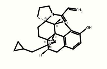 C=CC(=O)N1CCC[C@]12CC[C@@]1(O)[C@H]3Cc4ccc(O)c5c4[C@@]1(CCN3CC1CC1)[C@H]2O5